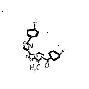 C[C@@H]1c2nnc(-c3csc(-c4ccc(F)cc4)n3)n2CCN1C(=O)c1ccc(F)cc1